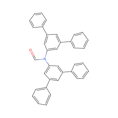 O=CN(c1cc(-c2ccccc2)cc(-c2ccccc2)c1)c1cc(-c2ccccc2)cc(-c2ccccc2)c1